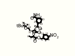 CC=C(C(=O)OCc1ccc([N+](=O)[O-])cc1)N1C(=O)[C@@H](SC(=O)c2cccc(C(N)=O)c2)[C@H]1CCO[Si](C)(C)C(C)(C)C